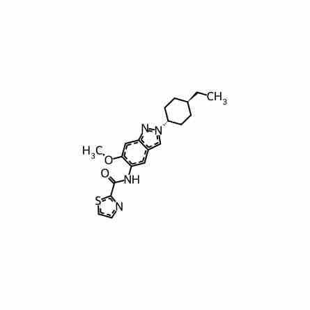 CC[C@H]1CC[C@H](n2cc3cc(NC(=O)c4nccs4)c(OC)cc3n2)CC1